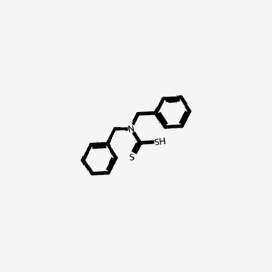 S=C(S)N(CC1=CCCC=C1)Cc1ccccc1